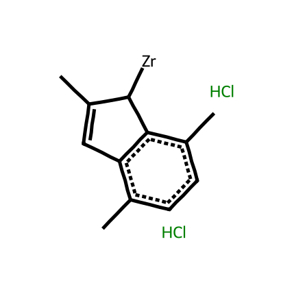 CC1=Cc2c(C)ccc(C)c2[CH]1[Zr].Cl.Cl